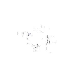 C/C1=C/CC(C(C)(C)O)CC/C(C)=C\CC/C(C)=C/CC1